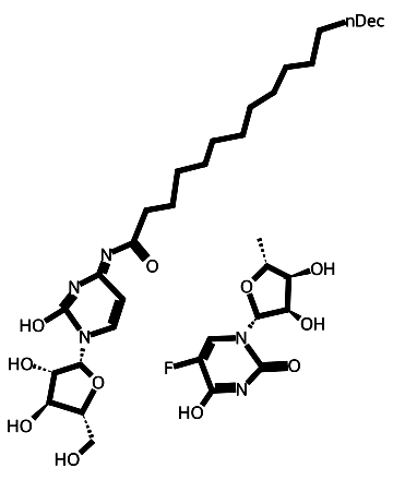 CCCCCCCCCCCCCCCCCCCCCC(=O)N=c1ccn([C@@H]2O[C@H](CO)[C@@H](O)[C@@H]2O)c(O)n1.C[C@H]1O[C@@H](n2cc(F)c(O)nc2=O)[C@H](O)[C@@H]1O